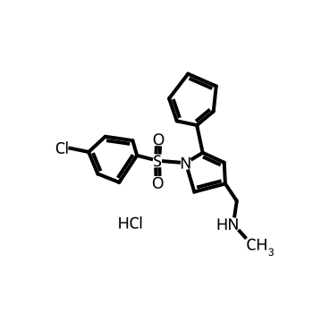 CNCc1cc(-c2ccccc2)n(S(=O)(=O)c2ccc(Cl)cc2)c1.Cl